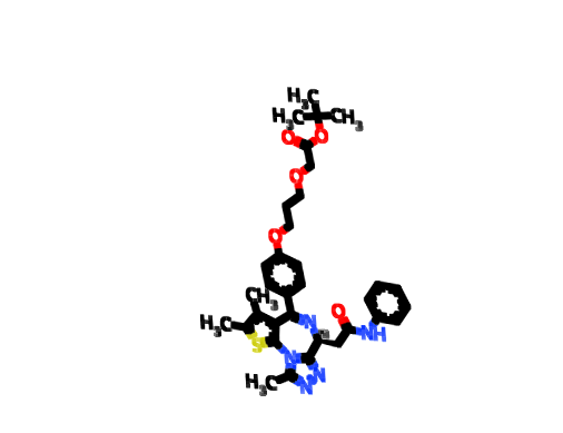 Cc1sc2c(c1C)C(c1ccc(OCCCOCC(=O)OC(C)(C)C)cc1)=N[C@@H](CC(=O)Nc1ccccc1)c1nnc(C)n1-2